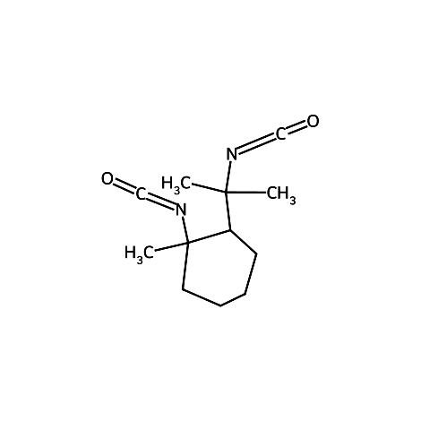 CC(C)(N=C=O)C1CCCCC1(C)N=C=O